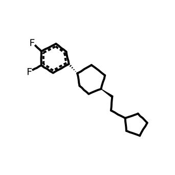 Fc1ccc([C@H]2CC[C@H](CCC3CCCC3)CC2)cc1F